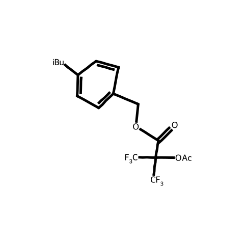 CCC(C)c1ccc(COC(=O)C(OC(C)=O)(C(F)(F)F)C(F)(F)F)cc1